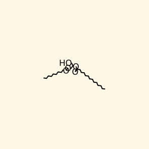 CCCCCCCCCCCCCC(=O)OC(CO)COOCCCCCCCCC